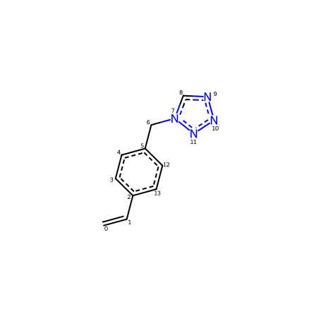 C=Cc1ccc(Cn2cnnn2)cc1